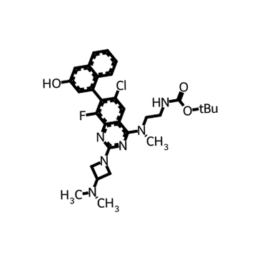 CN(CCNC(=O)OC(C)(C)C)c1nc(N2CC(N(C)C)C2)nc2c(F)c(-c3cc(O)cc4ccccc34)c(Cl)cc12